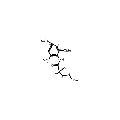 CCCCCCCCCCCCC(C)(C)C(=O)Nc1c(OC)cc(OC)cc1OC